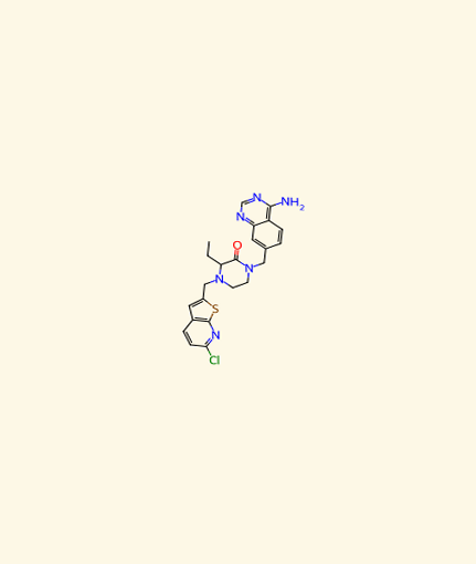 CCC1C(=O)N(Cc2ccc3c(N)ncnc3c2)CCN1Cc1cc2ccc(Cl)nc2s1